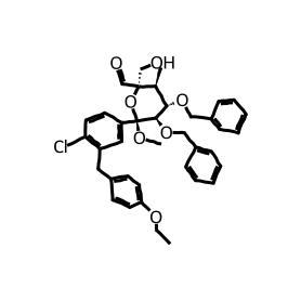 CCOc1ccc(Cc2cc([C@]3(OC)O[C@](C=O)(CO)[C@@H](C)[C@H](OCc4ccccc4)[C@H]3OCc3ccccc3)ccc2Cl)cc1